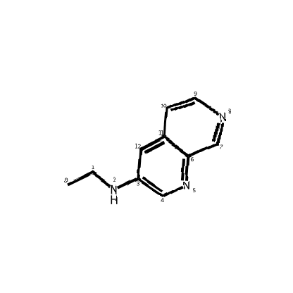 CCNc1cnc2cnccc2c1